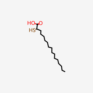 CCCCCCCCCCCCCCCC(S)C(=O)O